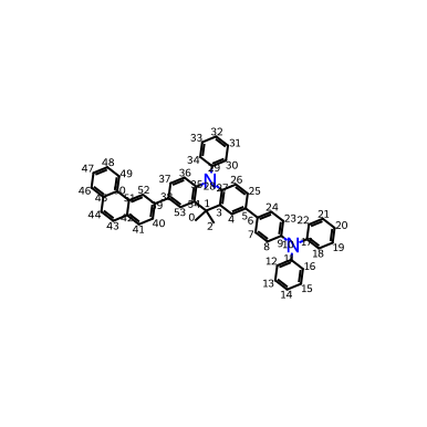 CC1(C)c2cc(-c3ccc(N(c4ccccc4)c4ccccc4)cc3)ccc2N(c2ccccc2)c2ccc(-c3ccc4ccc5ccccc5c4c3)cc21